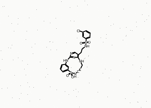 O=S1(=O)NCCCNc2nc(ncc2CCNS(=O)(=O)c2cccc(Cl)c2)Nc2cccc1c2